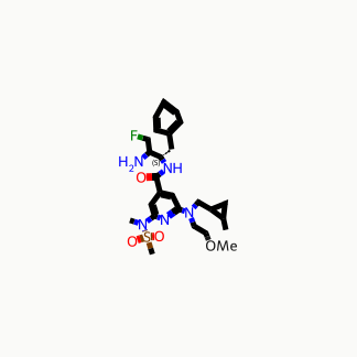 COCCN(CC1CC1C)c1cc(C(=O)N[C@@H](Cc2ccccc2)C(N)CF)cc(N(C)S(C)(=O)=O)n1